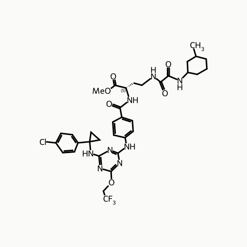 COC(=O)[C@H](CCNC(=O)C(=O)NC1CCCC(C)C1)NC(=O)c1ccc(Nc2nc(NC3(c4ccc(Cl)cc4)CC3)nc(OCC(F)(F)F)n2)cc1